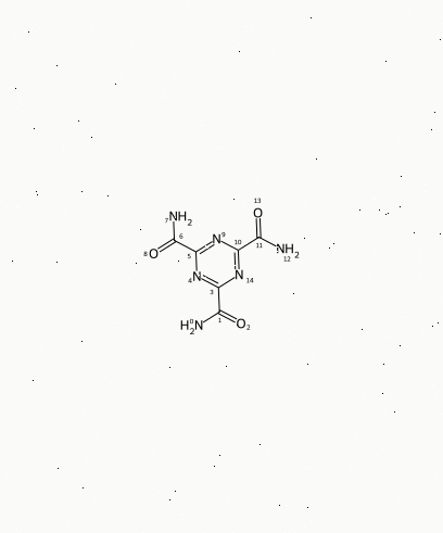 NC(=O)c1nc(C(N)=O)nc(C(N)=O)n1